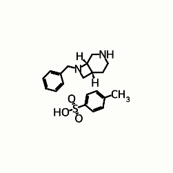 Cc1ccc(S(=O)(=O)O)cc1.c1ccc(CN2C[C@H]3CCNC[C@H]32)cc1